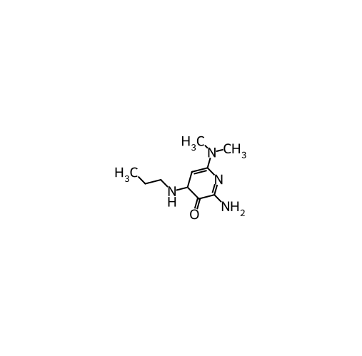 CCCNC1C=C(N(C)C)N=C(N)C1=O